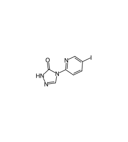 O=c1[nH]ncn1-c1ccc(I)cn1